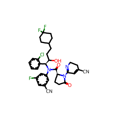 N#CC1=CC(N2C(=O)CC[C@H]2C(=O)N(c2cc(F)cc(C#N)c2)[C@@H](c2ccccc2Cl)C(O)CCC2CCC(F)(F)CC2)=NCC1